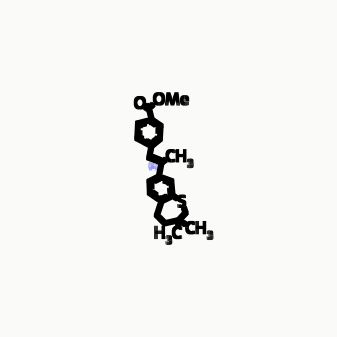 COC(=O)c1ccc(/C=C(\C)c2ccc3c(c2)SCC(C)(C)CC3)cc1